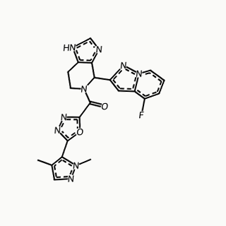 Cc1cnn(C)c1-c1nnc(C(=O)N2CCc3[nH]cnc3C2c2cc3c(F)cccn3n2)o1